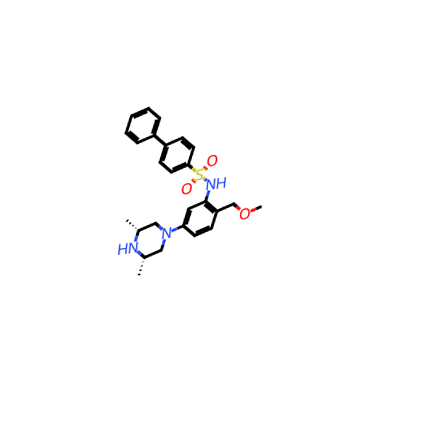 COCc1ccc(N2C[C@@H](C)N[C@@H](C)C2)cc1NS(=O)(=O)c1ccc(-c2ccccc2)cc1